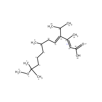 COC(C)(C)CCCC(C)CC=C(/C(C)=C/C(=O)O)C(C)C